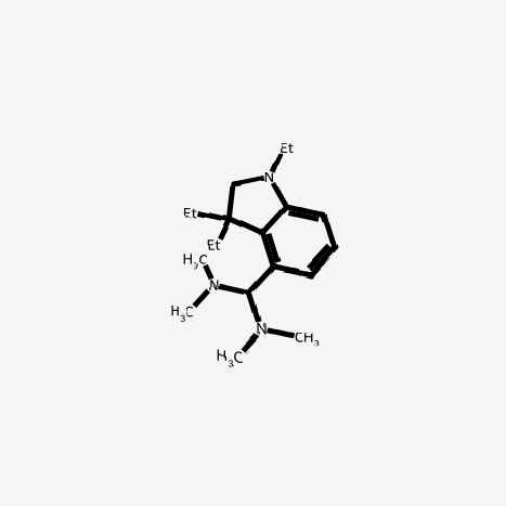 CCN1CC(CC)(CC)c2c(C(N(C)C)N(C)C)cccc21